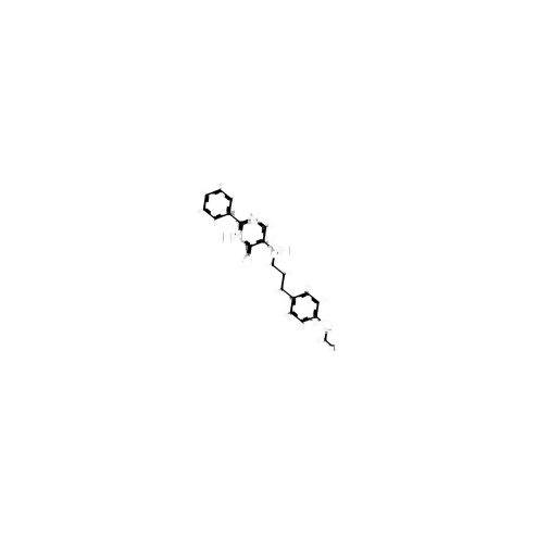 O=c1[nH]c(-c2ccccc2)ncc1NCCCc1ccc(OCF)cc1